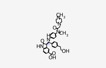 CN1CCN(CC(=O)N(C)c2ccc(N/C(=C3\C(=O)Nc4ccc(C(=O)O)cc43)c3ccc(CCO)cc3)cc2)CC1